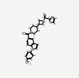 O=C(c1ccc2c(ccn2-c2ccc(C(F)(F)F)cc2)c1)N1CCC(C2CN(C(=O)c3nccs3)C2)CC1